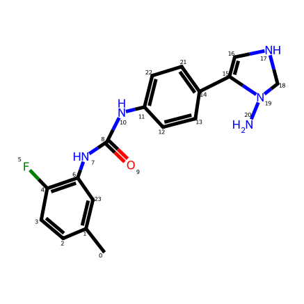 Cc1ccc(F)c(NC(=O)Nc2ccc(C3=CNCN3N)cc2)c1